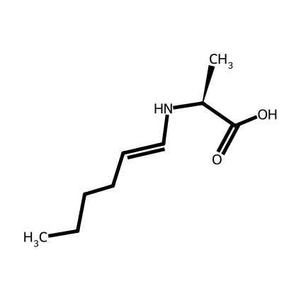 CCCC/C=C/N[C@@H](C)C(=O)O